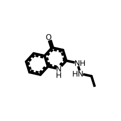 CCNNc1cc(=O)c2ccccc2[nH]1